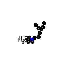 CC1(C)c2ccccc2-c2c(-n3c4ccccc4c4cc(-c5cccc(-c6ccc(C(CC7C=CC(c8ccccc8)=CC7)c7ccc(-c8ccccc8)cc7)cc6)c5)ccc43)cccc21